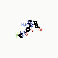 COc1cc(C(=O)Nc2cc(C(F)(F)F)ccn2)ccc1-c1nc([C@]23C4C5C2C2[C@@H]3C4C52CO)n2ccnc(N)c12